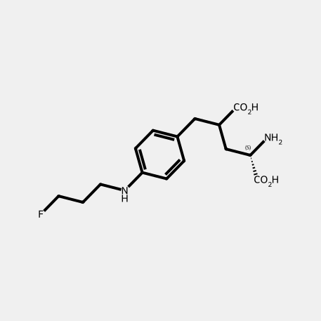 N[C@@H](CC(Cc1ccc(NCCCF)cc1)C(=O)O)C(=O)O